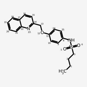 CCCCS(=O)(=O)Nc1ccc(OCc2ccc3ccccc3n2)cc1